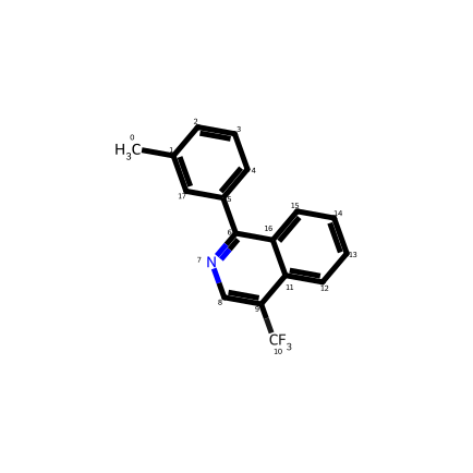 Cc1cccc(-c2ncc(C(F)(F)F)c3ccccc23)c1